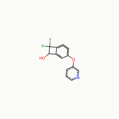 OC1C2=CC(Oc3cccnc3)=C=C=C2C1(F)F